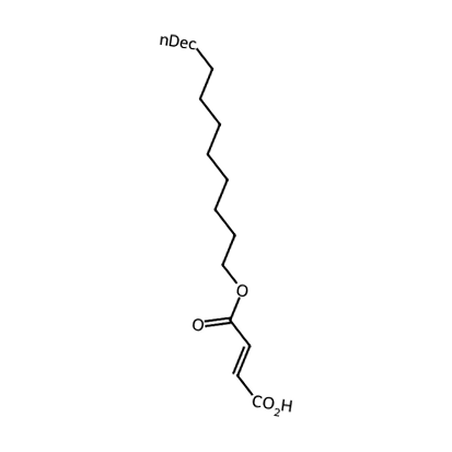 CCCCCCCCCCCCCCCCCCOC(=O)C=CC(=O)O